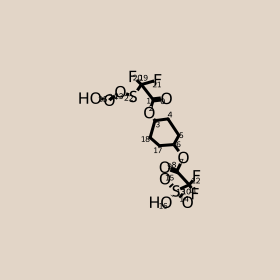 O=C(OC1CCC(OC(=O)C(F)(F)S(=O)(=O)O)CC1)C(F)(F)SOOO